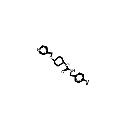 COc1ccc(CNC(=O)NC2CCC(OCc3ccncc3)CC2)cc1